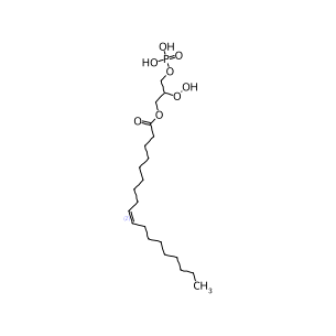 CCCCCCCC/C=C\CCCCCCCC(=O)OCC(COP(=O)(O)O)OO